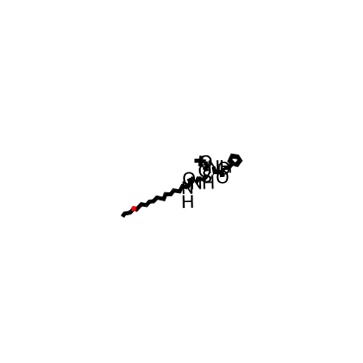 CCCCCCCCCCCCCCCCNC(=O)NCCSC[C@H](NC(=O)OC(C)(C)C)C(=O)OCc1ccccc1